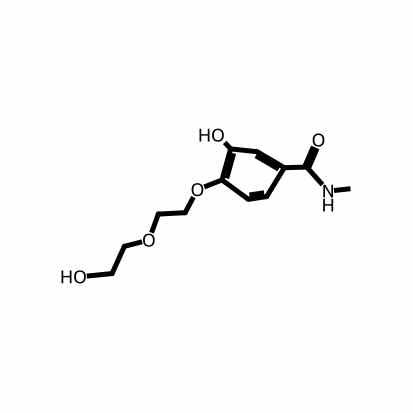 CNC(=O)c1ccc(OCCOCCO)c(O)c1